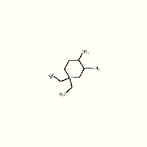 [CH2]C[N+]1(CC)CCC(N)C(C)C1